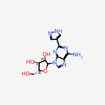 Nc1nc(-c2cn[nH]c2)nc2c1ncn2C1O[C@H](CO)[C@@H](O)[C@H]1O